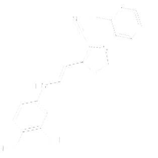 Cc1ccc(NC=CC2=C(C#N)N(c3ccccc3Cl)CO2)cc1C